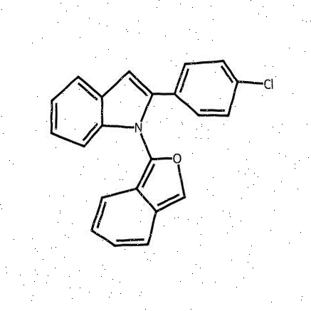 Clc1ccc(-c2cc3ccccc3n2-c2occ3ccccc23)cc1